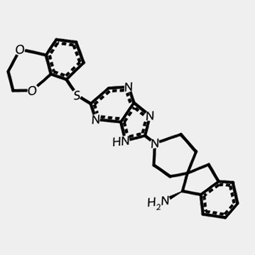 N[C@@H]1c2ccccc2CC12CCN(c1nc3ncc(Sc4cccc5c4OCCO5)nc3[nH]1)CC2